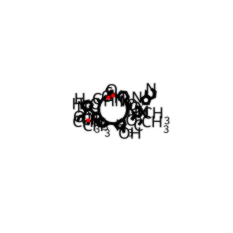 CCn1c(-c2cccnc2[C@H](C)OC)c2c3cc(ccc31)-c1cc(O)cc(c1)C[C@H](NC(=O)[C@H](C(C)C)N(C)C(=O)[C@H]1Cc3ccncc3[C@H]1N)C(=O)N1CCC[C@@](C3=CS3)(N1)C(=O)OCC(C)(C)C2